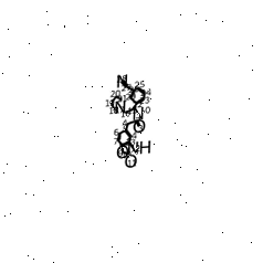 CN(C(=O)Cc1ccc2oc(=O)[nH]c2c1)C(CN1CCCC1)c1cccc(C#N)c1